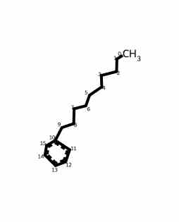 CCCCCCCCCCc1[c]cccc1